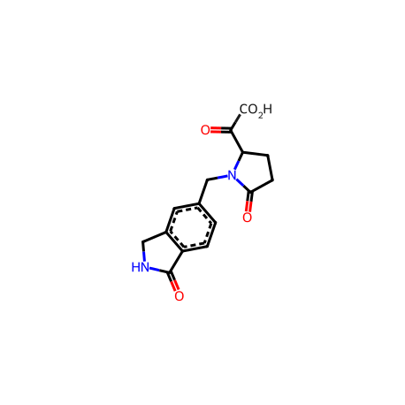 O=C(O)C(=O)C1CCC(=O)N1Cc1ccc2c(c1)CNC2=O